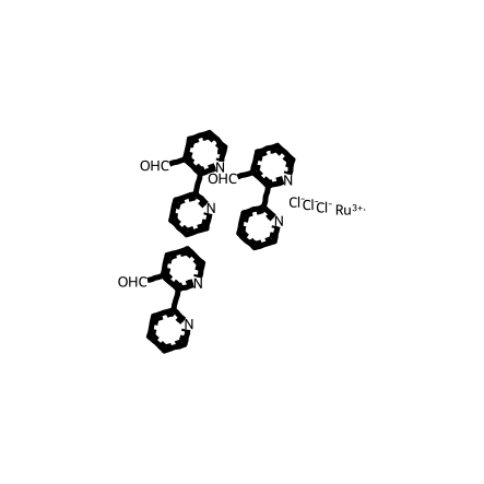 O=Cc1cccnc1-c1ccccn1.O=Cc1cccnc1-c1ccccn1.O=Cc1cccnc1-c1ccccn1.[Cl-].[Cl-].[Cl-].[Ru+3]